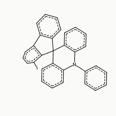 Ic1cccc2c1C1(c3ccccc3-2)c2ccccc2N(c2ccccc2)c2ccccc21